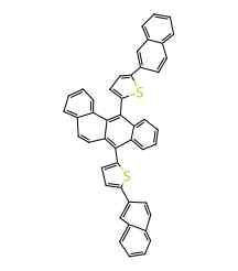 c1ccc2cc(-c3ccc(-c4c5ccccc5c(-c5ccc(-c6ccc7ccccc7c6)s5)c5c4ccc4ccccc45)s3)ccc2c1